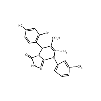 CC1=C(C(=O)O)C(c2ccc(C#N)cc2Br)n2c(n[nH]c2=O)N1c1cccc(C(F)(F)F)c1